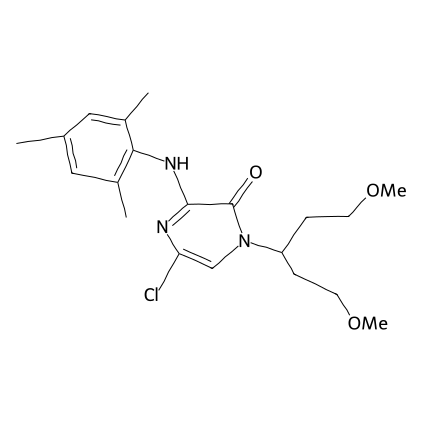 COCCC(CCOC)n1cc(Cl)nc(Nc2c(C)cc(C)cc2C)c1=O